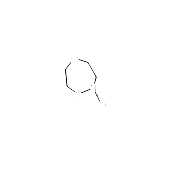 CCN1CCOCCS1